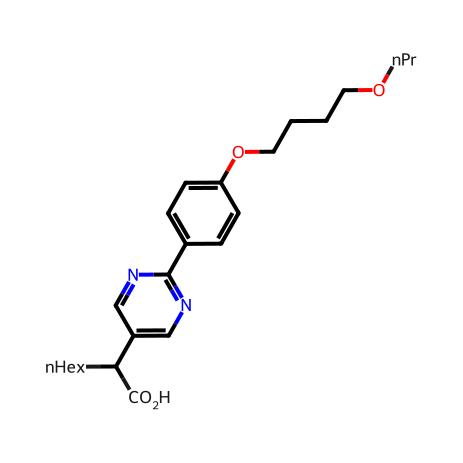 CCCCCCC(C(=O)O)c1cnc(-c2ccc(OCCCCOCCC)cc2)nc1